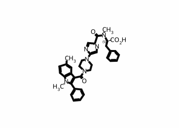 Cc1ccc2c(c1)c(C(=O)N1CCN(c3cnc(C(=O)N(C)[C@@H](Cc4ccccc4)C(=O)O)cn3)CC1)c(-c1ccccc1)n2C